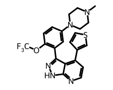 CN1CCN(c2ccc(OC(F)(F)F)c(-c3n[nH]c4nccc(-c5ccsc5)c34)c2)CC1